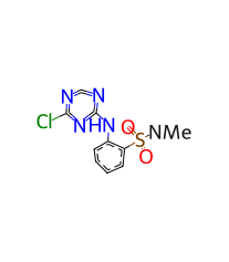 CNS(=O)(=O)c1ccccc1Nc1ncnc(Cl)n1